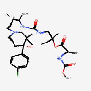 CC(C)C(NC(=O)OC(C)(C)C)C(=O)OC(C)(C)CNC(=O)NC(C=O)[C@@H](C)CN1CC[C@](O)(c2ccc(Cl)cc2)C(C)(C)C1